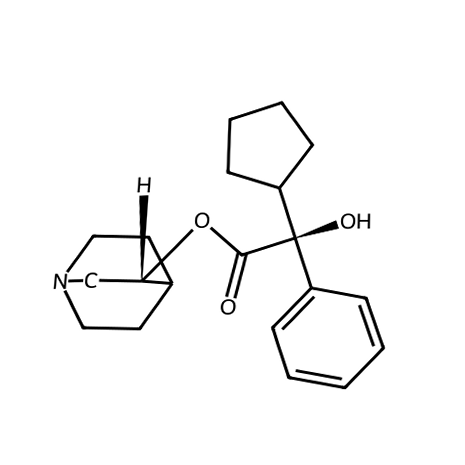 O=C(O[C@H]1CN2CCC1CC2)[C@@](O)(c1ccccc1)C1CCCC1